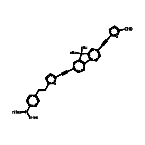 CCCCCCN(CCCCCC)c1ccc(/C=C/c2ccc(C#Cc3ccc4c(c3)C(CCCC)(CCCC)c3cc(C#Cc5ccc(C=O)s5)ccc3-4)s2)cc1